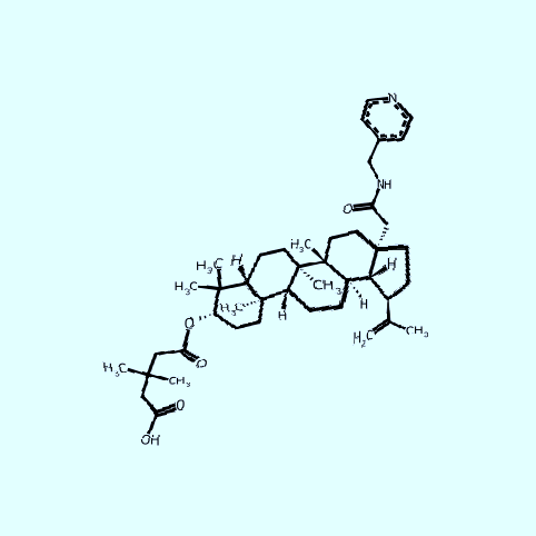 C=C(C)[C@@H]1CC[C@]2(CC(=O)NCc3ccncc3)CC[C@]3(C)[C@H](CC[C@@H]4[C@@]5(C)CC[C@H](OC(=O)CC(C)(C)CC(=O)O)C(C)(C)[C@@H]5CC[C@]43C)[C@@H]12